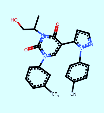 CC(CO)n1c(=O)c(-c2ccnn2-c2ccc(C#N)cc2)cn(-c2cccc(C(F)(F)F)c2)c1=O